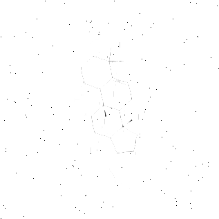 CCOC(=O)C[C@H]1CC[C@H]2[C@@H]3CC=C4C(C)(C)[C@@H](O)CC[C@]4(C)[C@H]3CC[C@]12C